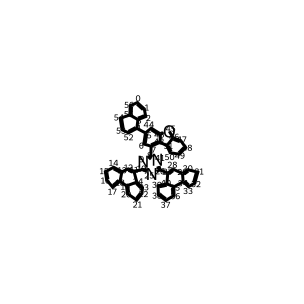 c1ccc2c(-c3cc(-c4nc(-c5cc6ccccc6c6ccccc56)nc(-c5cc6ccccc6c6ccccc56)n4)c4c(c3)oc3ccccc34)cccc2c1